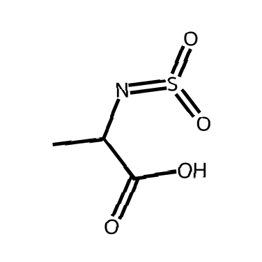 CC(N=S(=O)=O)C(=O)O